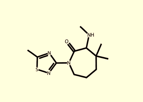 CNC1C(=O)N(c2nsc(C)n2)CCCC1(C)C